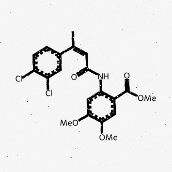 COC(=O)c1cc(OC)c(OC)cc1NC(=O)/C=C(/C)c1ccc(Cl)c(Cl)c1